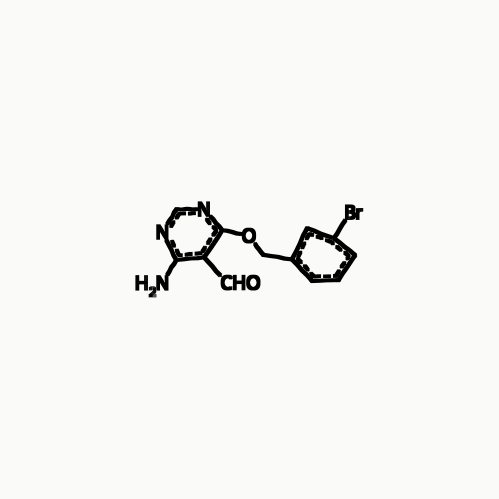 Nc1ncnc(OCc2cccc(Br)c2)c1C=O